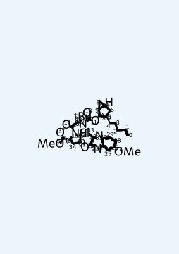 C=CCCC[C@@H]1C[C@H]2CC2[C@H]1OC(=O)N[C@H](C(=O)N1C[C@H](Oc2nc3cc(OC)ccc3nc2Cl)C[C@H]1C(=O)OC)C(C)(C)C